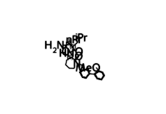 CCC[C@H](C(N)=O)[C@@H](CC(C)C)C(=O)N[C@H]1CCCCN(Cc2cccc(-c3ccccc3OC)c2)C1=O